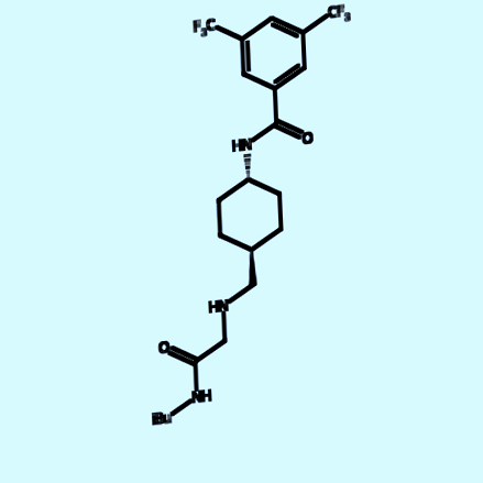 CCC(C)NC(=O)CNC[C@H]1CC[C@H](NC(=O)c2cc(C(F)(F)F)cc(C(F)(F)F)c2)CC1